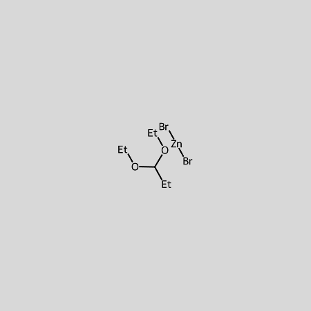 [Br][Zn][Br].[CH2]CC(OCC)OCC